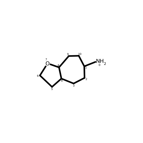 NC1CCC2CCOC2CC1